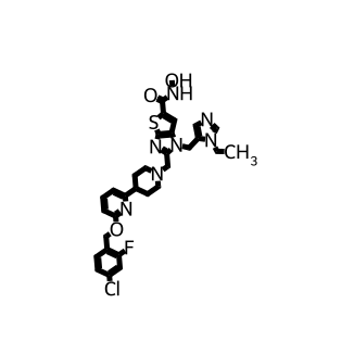 CCn1cncc1Cn1c(CN2CCC(c3cccc(OCc4ccc(Cl)cc4F)n3)CC2)nc2sc(C(=O)NO)cc21